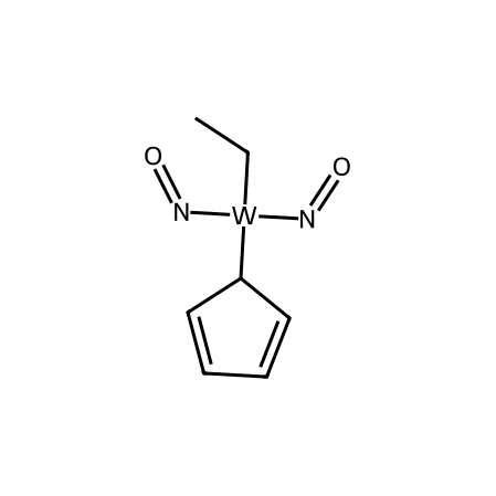 C[CH2][W]([N]=O)([N]=O)[CH]1C=CC=C1